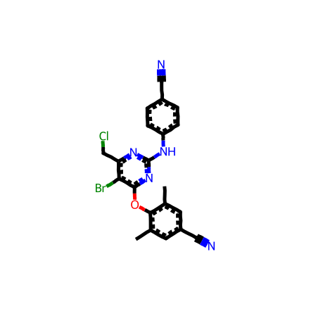 Cc1cc(C#N)cc(C)c1Oc1nc(Nc2ccc(C#N)cc2)nc(CCl)c1Br